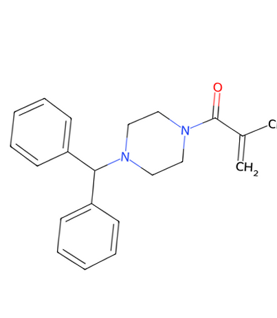 C=C(C)C(=O)N1CCN(C(c2ccccc2)c2ccccc2)CC1